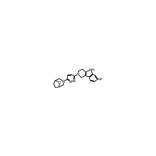 Fc1ccc2c3c([nH]c2c1)CCN(c1ccc(N2CC4CCC(C2)O4)nn1)C3